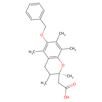 Cc1c(C)c2c(c(C)c1OCc1ccccc1)CC(C)[C@](C)(CC(=O)O)O2